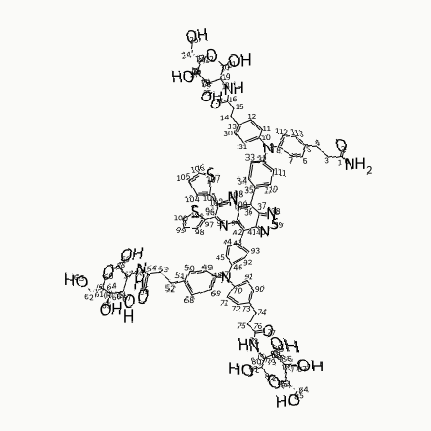 NC(=O)CCc1ccc(N(c2ccc(CCC(=O)NC3C(O)O[C@@H](CO)[C@H](O)[C@H]3O)cc2)c2ccc(-c3c4nsnc4c(-c4ccc(N(c5ccc(CCC(=O)NC6C(O)O[C@@H](CO)[C@H](O)[C@H]6O)cc5)c5ccc(CCC(=O)N[C@@H]6C(O)O[C@@H](CO)[C@H](O)[C@H]6O)cc5)cc4)c4nc(-c5cccs5)c(-c5cccs5)nc34)cc2)cc1